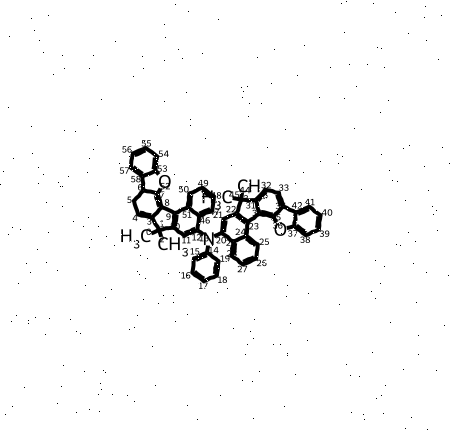 CC1(C)C2=CCC3C(=C2c2c1cc(N(c1ccccc1)c1cc4c(c5ccccc15)-c1c(ccc5c1oc1ccccc15)C4(C)C)c1ccccc21)Oc1ccccc13